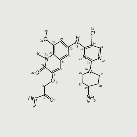 CNC(=O)COc1cc2cc(Nc3nc(N4CCC(N)CC4)ncc3Cl)cc(OC)c2n(C)c1=O